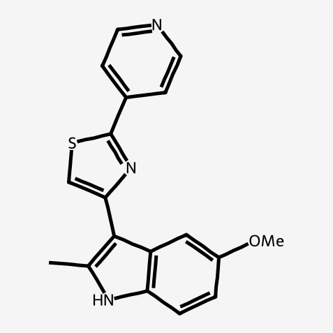 COc1ccc2[nH]c(C)c(-c3csc(-c4ccncc4)n3)c2c1